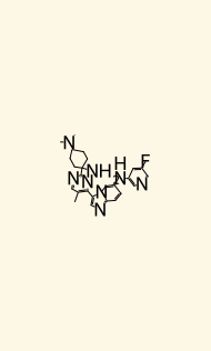 Cc1cnc(C2(N)CCC(N(C)C)CC2)nc1-c1cnc2ccc(Nc3cncc(F)c3)cn12